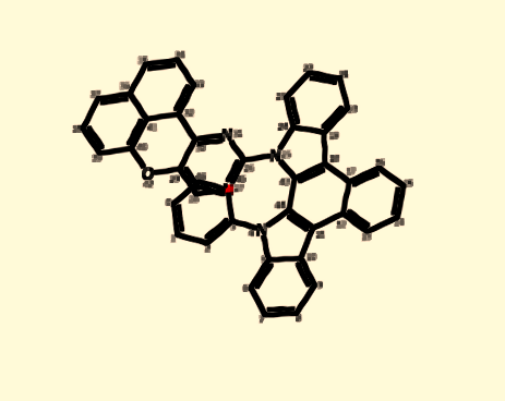 c1ccc(-n2c3ccccc3c3c4ccccc4c4c5ccccc5n(-c5ncc6c(n5)-c5cccc7cccc(c57)O6)c4c32)cc1